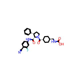 N#Cc1ccc(NC(=O)[C@@H]2[C@H](c3ccccc3)CCN2C(=O)[C@H]2CC[C@H](CNC(=O)O)CC2)cc1F